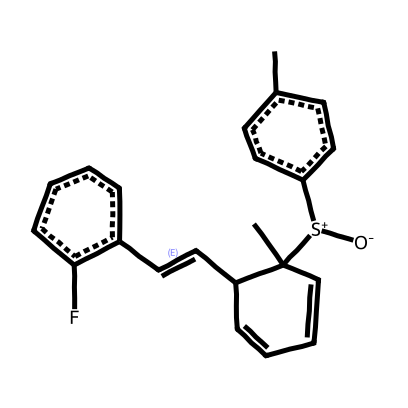 Cc1ccc([S+]([O-])C2(C)C=CC=CC2/C=C/c2ccccc2F)cc1